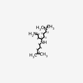 CN(C)CCCNC(CCN)CCCN(C)C